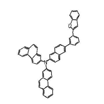 c1cc(-c2ccc3cc(N(c4ccc5c(ccc6ccccc65)c4)c4ccc5c(ccc6ccccc65)c4)ccc3c2)cc(-c2cc3ccccc3o2)c1